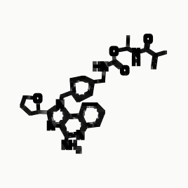 C=C(C)C(=O)NC(C)OC(=O)NCc1ccc(Cn2c(C3CCCO3)nc3c(N)nc4ccccc4c32)cc1